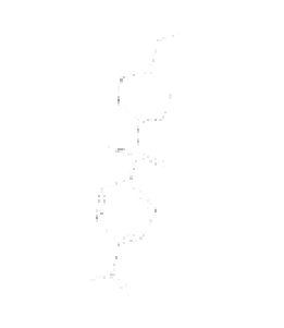 CCN1CCN(S(=O)(=O)c2ccc(C(=O)O)cc2)CC1